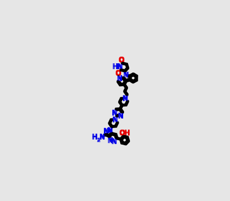 Nc1nn(C2CCN(c3ncc(C4CCN(CCCc5ccnc6c5c5ccccc5n6C5CCC(=O)NC5=O)CC4)cn3)CC2)c2cc(-c3ccccc3O)nnc12